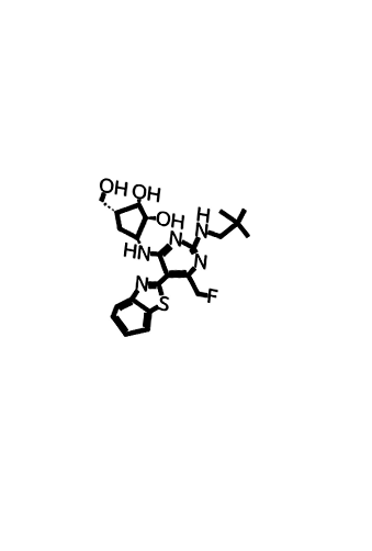 CC(C)(C)CNc1nc(CF)c(-c2nc3ccccc3s2)c(N[C@@H]2C[C@H](CO)[C@@H](O)[C@H]2O)n1